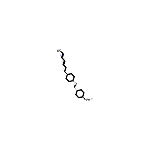 CCCCC[C@H]1CC[C@H](CO[C@H]2CC[C@H](CC/C=C/C=C/C#N)CC2)CC1